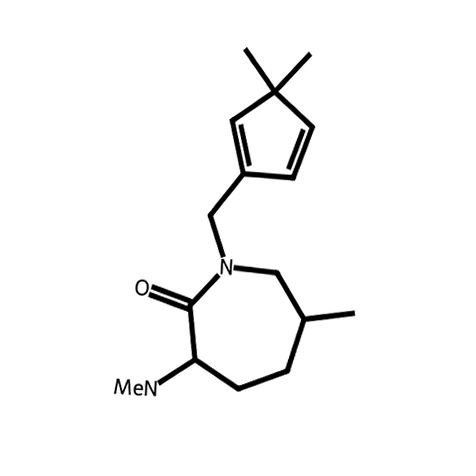 CNC1CCC(C)CN(CC2=CC(C)(C)C=C2)C1=O